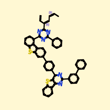 C=C/C(=C\C=C/C)c1nc(-c2ccccc2)nc(-c2cccc3sc4cc(-c5ccc(-c6nc(-c7cccc(-c8ccccc8)c7)nc7c6sc6ccccc67)cc5)ccc4c23)n1